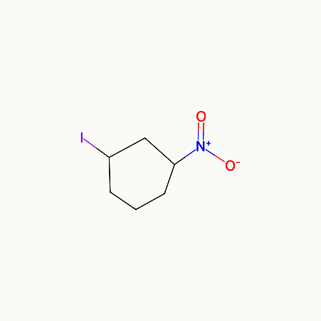 O=[N+]([O-])C1CCCC(I)C1